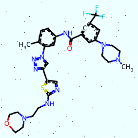 Cc1ccc(NC(=O)c2cc(N3CCN(C)CC3)cc(C(F)(F)F)c2)cc1-n1cc(-c2cnc(NCCN3CCOCC3)s2)nn1